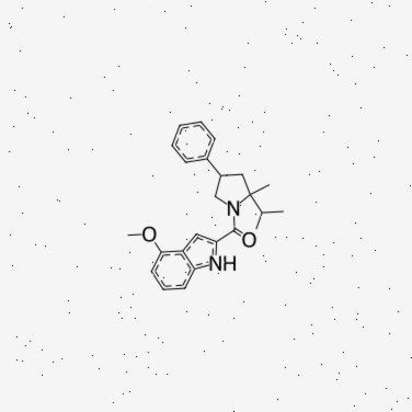 COc1cccc2[nH]c(C(=O)N3CC(c4ccccc4)CC3(C)C(C)C)cc12